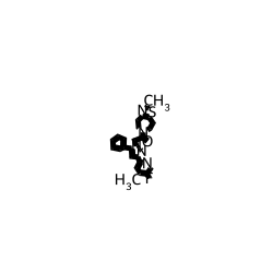 Cc1nc2c(s1)CCN(C(=O)Cn1nc(-c3cc(C)c(F)cn3)cc1-c1ccccc1)CC2